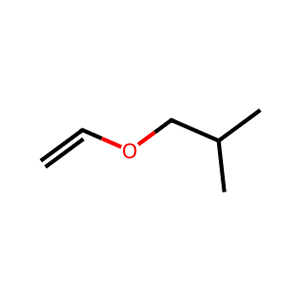 C=COCC(C)C